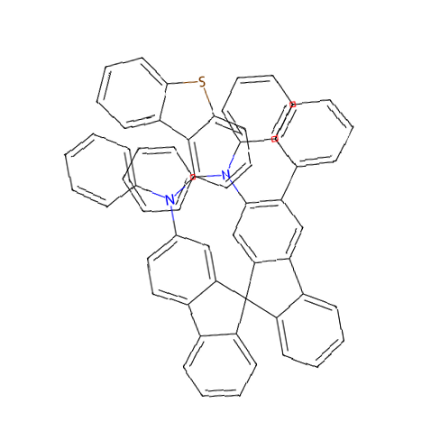 c1ccc(-c2cc3c(cc2N(c2ccccc2)c2ccccc2)C2(c4ccccc4-c4ccc(N(c5ccccc5)c5cccc6sc7ccccc7c56)cc42)c2ccccc2-3)cc1